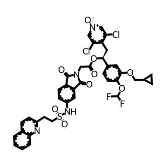 O=C(CN1C(=O)c2ccc(NS(=O)(=O)CCc3ccc4ccccc4n3)cc2C1=O)O[C@@H](Cc1c(Cl)c[n+]([O-])cc1Cl)c1ccc(OC(F)F)c(OCC2CC2)c1